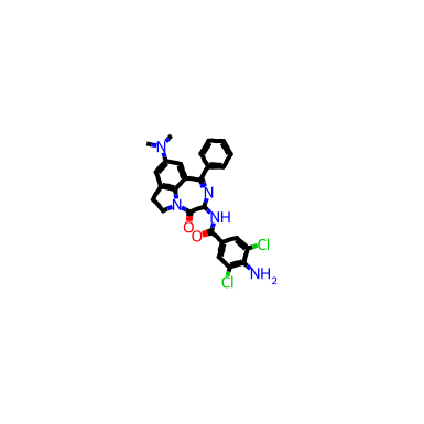 CN(C)c1cc2c3c(c1)C(c1ccccc1)=NC(NC(=O)c1cc(Cl)c(N)c(Cl)c1)C(=O)N3CC2